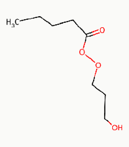 CCCCC(=O)OOCCCO